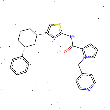 O=C(Nc1nc([C@H]2CCC[C@@H](c3ccccc3)C2)cs1)c1cccn1Cc1ccncc1